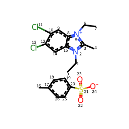 CCn1c(C)[n+](CC)c2cc(Cl)c(Cl)cc21.Cc1ccc(S(=O)(=O)[O-])cc1